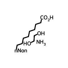 CCCCCCCCCCCCCCCCCC(=O)O.N.OCCO